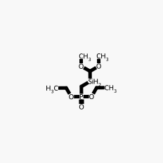 CCOP(=O)(C[SiH2]C(OC)OC)OCC